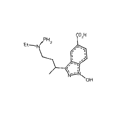 CCN(P)CCC(C)c1nn(O)c2ccc(C(=O)O)cc12